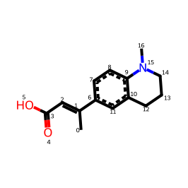 C/C(=C\C(=O)O)c1ccc2c(c1)CCCN2C